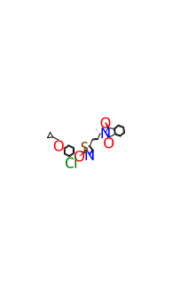 C[C@@H](/C=C/c1cnc(Oc2ccc(OCC3CC3)cc2Cl)s1)N1C(=O)c2ccccc2C1=O